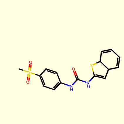 CS(=O)(=O)c1ccc(NC(=O)NC2=CC3C=CC=CC3S2)cc1